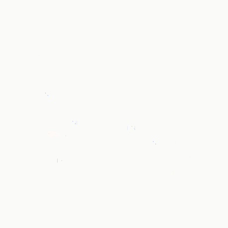 C#Cc1ccc(NC(=O)C(C)=C2CCC(c3ccc(C(F)(F)F)nc3N)CC2)cn1